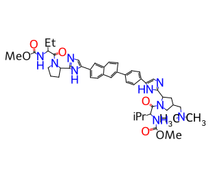 CCC(NC(=O)OC)C(=O)N1CCCC1c1ncc(-c2ccc3cc(-c4ccc(-c5cnc(C6CC(CN(C)C)CN6C(=O)C(NC(=O)OC)C(C)C)[nH]5)cc4)ccc3c2)[nH]1